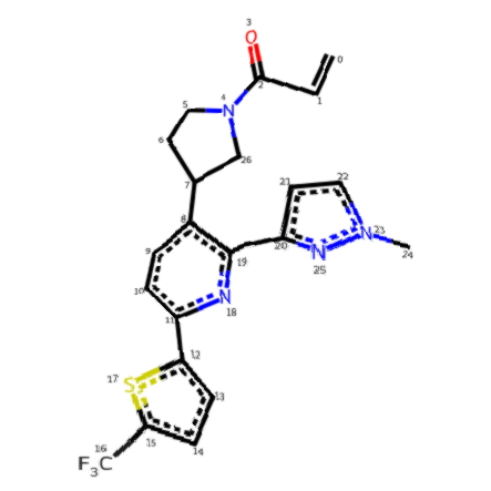 C=CC(=O)N1CCC(c2ccc(-c3ccc(C(F)(F)F)s3)nc2-c2ccn(C)n2)C1